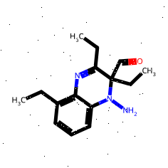 CCC1=Nc2c(CC)cccc2N(N)C1(C=O)CC